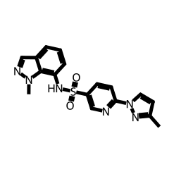 Cc1ccn(-c2ccc(S(=O)(=O)Nc3cccc4cnn(C)c34)cn2)n1